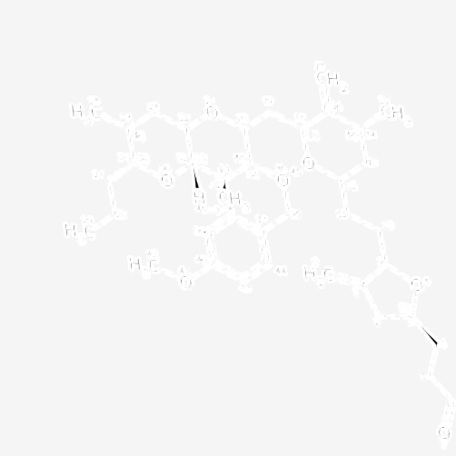 C=C1C[C@H](CCC=O)OC1CCC1C[C@@H](C)C(=C)[C@@H](CC2OC3C[C@@H](C)[C@@H](CCC)O[C@H]3[C@H](C)[C@H]2OCc2ccc(OC)cc2)O1